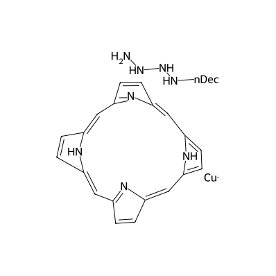 C1=Cc2cc3ccc(cc4nc(cc5ccc(cc1n2)[nH]5)C=C4)[nH]3.CCCCCCCCCCNNNN.[Cu]